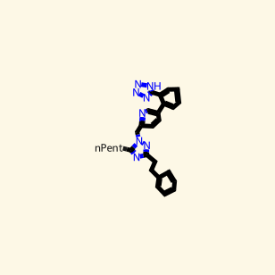 CCCCCc1nc(CCc2ccccc2)nn1Cc1ccc(-c2ccccc2-c2nnn[nH]2)cn1